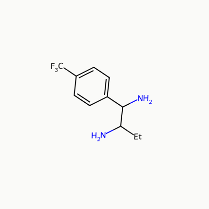 CCC(N)C(N)c1ccc(C(F)(F)F)cc1